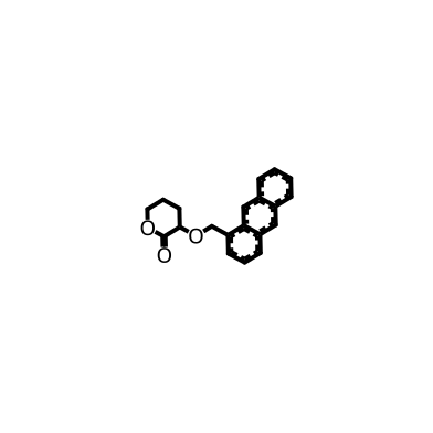 O=C1OCCCC1OCc1cccc2cc3ccccc3cc12